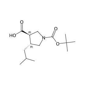 CC(C)C[C@H]1CN(C(=O)OC(C)(C)C)C[C@@H]1C(=O)O